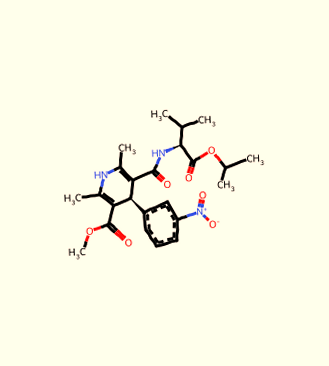 COC(=O)C1=C(C)NC(C)=C(C(=O)N[C@H](C(=O)OC(C)C)C(C)C)[C@H]1c1cccc([N+](=O)[O-])c1